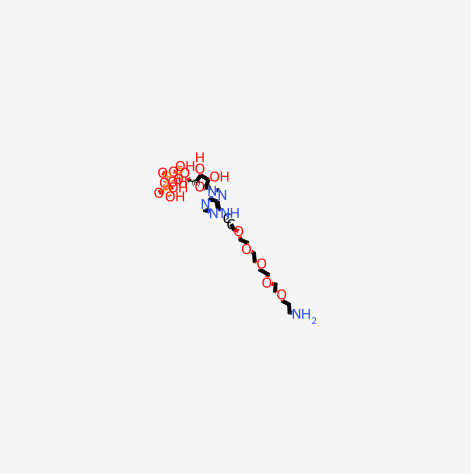 NCCCOCCOCCOCCOCCOCCCNc1ncnc2c1ncn2[C@@H]1O[C@H](COP(=O)(O)OP(=O)(O)OP(=O)(O)O)C(O)C1O